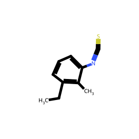 CCc1cccc(N=C=S)c1C